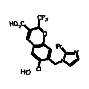 CC(C)c1nccn1Cc1cc2c(cc1Cl)C=C(C(=O)O)C(C(F)(F)F)O2.Cl